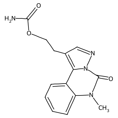 Cn1c(=O)n2ncc(CCOC(N)=O)c2c2ccccc21